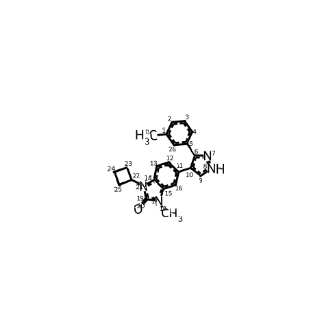 Cc1cccc(-c2n[nH]cc2-c2ccc3c(c2)n(C)c(=O)n3C2CCC2)c1